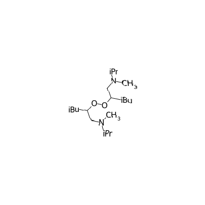 CCC(C)C(CN(C)C(C)C)OOC(CN(C)C(C)C)C(C)CC